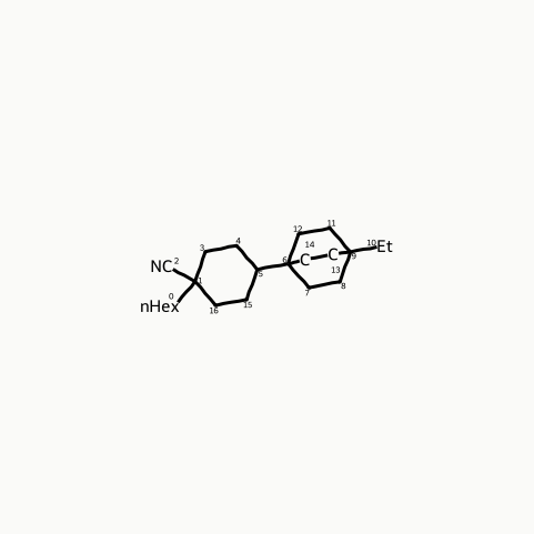 CCCCCCC1(C#N)CCC(C23CCC(CC)(CC2)CC3)CC1